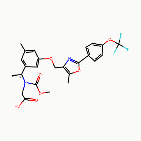 COC(=O)N(CC(=O)O)[C@@H](C)c1cc(C)cc(OCc2nc(-c3ccc(OC(F)(F)F)cc3)oc2C)c1